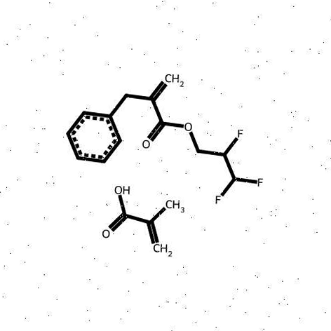 C=C(C)C(=O)O.C=C(Cc1ccccc1)C(=O)OCC(F)C(F)F